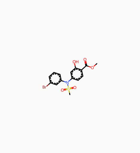 COC(=O)c1ccc(N(c2cccc(Br)c2)S(C)(=O)=O)cc1O